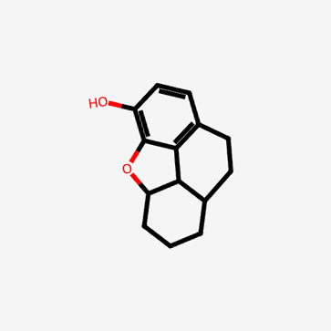 Oc1ccc2c3c1OC1CCCC(CC2)C31